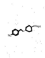 CCCCCCC[C@H]1CC[C@H](CCc2ccc(C#N)cc2)CC1